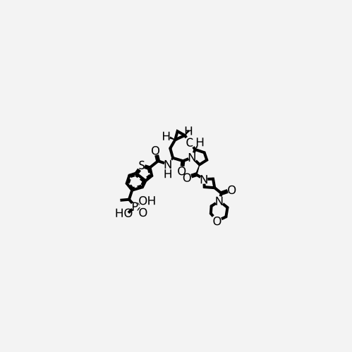 CC(c1ccc2sc(C(=O)N[C@H]3C[C@@H]4C[C@@H]4C[C@H]4CC[C@@H](C(=O)N5CC(C(=O)N6CCOCC6)C5)N4C3=O)cc2c1)P(=O)(O)O